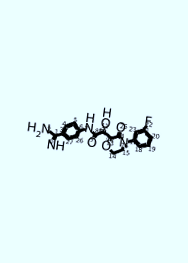 N=C(N)c1ccc(NC(=O)[C@H](O)[C@H]2OCCN(c3cccc(F)c3)C2=O)cc1